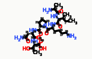 CC[C@H](C)[C@H](NC(=O)[C@H](C)N)C(=O)N[C@@H](CCCCN)C(=O)N1CCC[C@H]1C(=O)N[C@@H](CC(N)=O)C(=O)N[C@H](C(=O)O)[C@@H](C)O